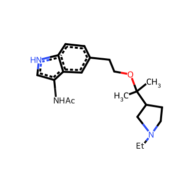 CCN1CCC(C(C)(C)OCCc2ccc3[nH]cc(NC(C)=O)c3c2)C1